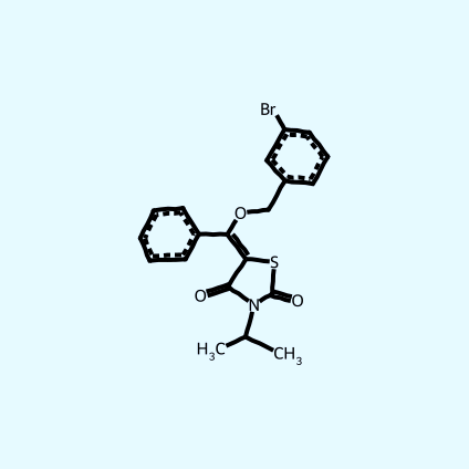 CC(C)N1C(=O)SC(=C(OCc2cccc(Br)c2)c2ccccc2)C1=O